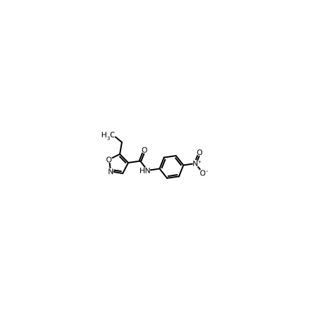 CCc1oncc1C(=O)Nc1ccc([N+](=O)[O-])cc1